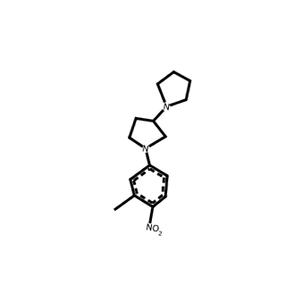 Cc1cc(N2CCC(N3CCCC3)C2)ccc1[N+](=O)[O-]